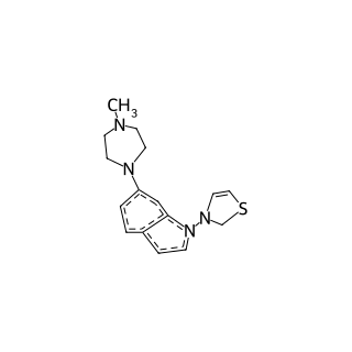 CN1CCN(c2ccc3ccn(N4C=CSC4)c3c2)CC1